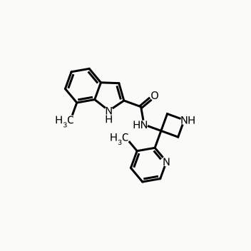 Cc1cccnc1C1(NC(=O)c2cc3cccc(C)c3[nH]2)CNC1